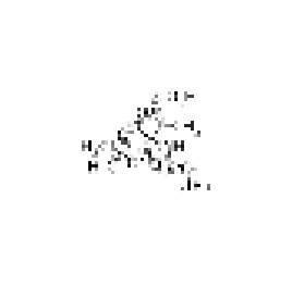 C[C@@H](CC(=O)O)C1(NC(=O)OC(C)(C)C)C(=O)OC(C)(C)OC1=O